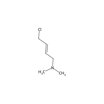 CN(C)C/C=C/CCl